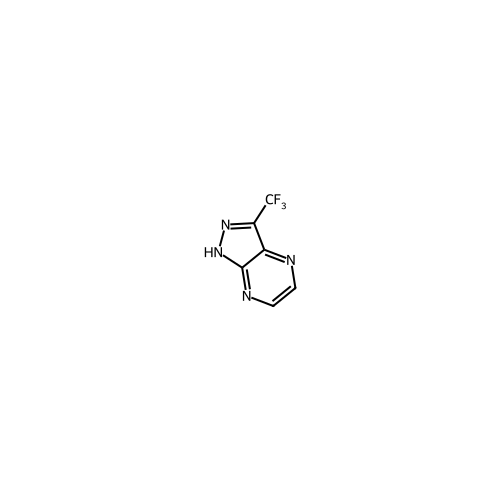 FC(F)(F)c1n[nH]c2nccnc12